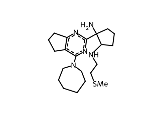 CSCCNC1CCCC1(N)c1nc2c(c(N3CCCCCC3)n1)CCC2